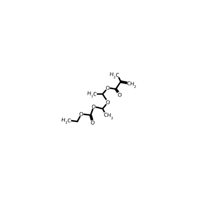 C=C(C)C(=O)OC(C)OC(C)OC(=O)OCC